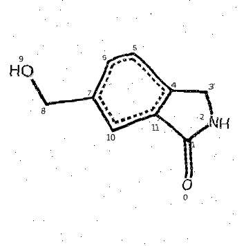 O=C1NCc2ccc(CO)cc21